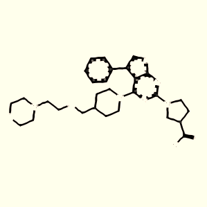 NC(=O)C1CCN(c2nc(N3CCC(COCCN4CCOCC4)CC3)c3c(-c4ccccc4)csc3n2)C1